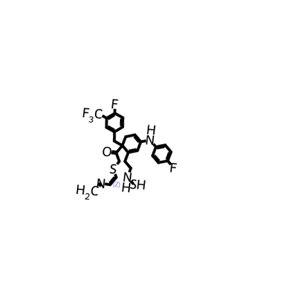 C=N/C=C\SCC(=O)C1(Cc2ccc(F)c(C(F)(F)F)c2)CC=C(Nc2ccc(F)cc2)C=C1CCNS